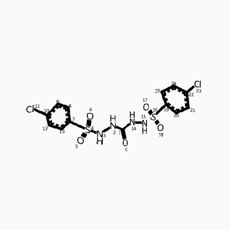 O=C(NNS(=O)(=O)c1ccc(Cl)cc1)NNS(=O)(=O)c1ccc(Cl)cc1